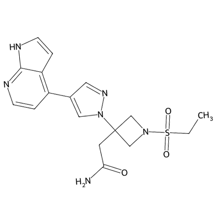 CCS(=O)(=O)N1CC(CC(N)=O)(n2cc(-c3ccnc4[nH]ccc34)cn2)C1